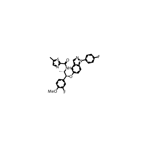 COc1ccc([C@H](Oc2ccc3c(cnn3-c3ccc(F)cc3)c2)[C@H](C)NC(=O)c2ncc(C)s2)cc1F